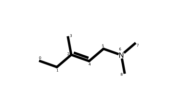 CC/C(C)=C/CN(C)C